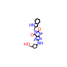 Cn1c(N[C@H]2CC[C@@H](CO)C2)nc2c1c(=O)n(Cc1cc3ccccc3[nH]1)c(=O)n2C